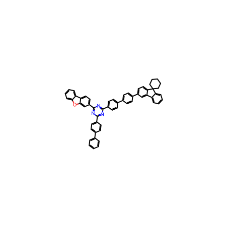 c1ccc(-c2ccc(-c3nc(-c4ccc(-c5ccc(-c6ccc7c(c6)-c6ccccc6C76CCCCC6)cc5)cc4)nc(-c4ccc5c(c4)oc4ccccc45)n3)cc2)cc1